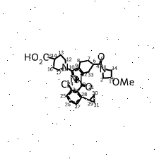 COC1CN(C(=O)C2CCc3c(N4CCC(C(=O)O)CC4)nn(C(=O)c4c(Cl)cccc4C4CC4)c3C2)C1